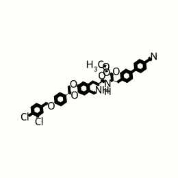 COOC(=O)[C@H](Cc1ccc(-c2ccc(C#N)cc2)cc1)NC(=O)[C@@H]1Cc2cc3c(cc2CN1)O[C@H](c1ccc(OCc2ccc(Cl)c(Cl)c2)cc1)CO3